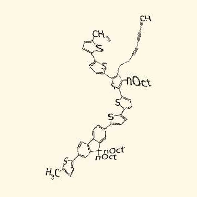 C#CC#CC#CCCc1c(-c2ccc(-c3ccc(C)s3)s2)sc(-c2ccc(-c3ccc(-c4ccc5c(c4)C(CCCCCCCC)(CCCCCCCC)c4cc(-c6ccc(C)s6)ccc4-5)s3)s2)c1CCCCCCCC